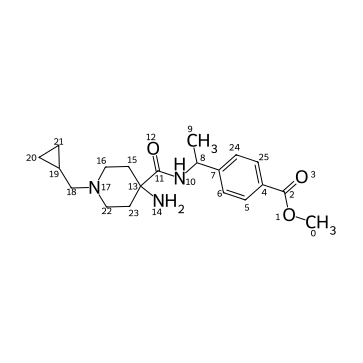 COC(=O)c1ccc(C(C)NC(=O)C2(N)CCN(CC3CC3)CC2)cc1